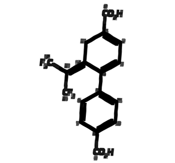 O=C(O)C1=CC=C(c2ccc(C(=O)O)cc2)C(=C(C(F)(F)F)C(F)(F)F)C1